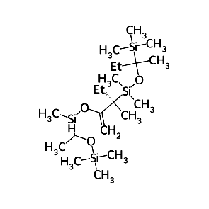 C=C(O[SiH](C)C(C)O[Si](C)(C)C)[C@@](C)(CC)[Si](C)(C)OC(C)(CC)[Si](C)(C)C